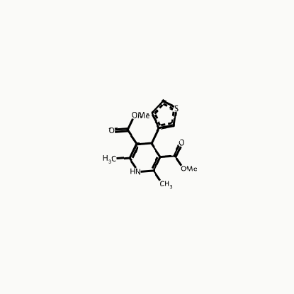 COC(=O)C1=C(C)NC(C)=C(C(=O)OC)C1c1ccsc1